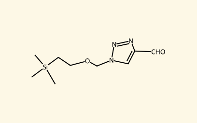 C[Si](C)(C)CCOCn1cc(C=O)nn1